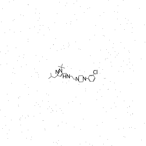 CC(C)Cc1cc(CNCCN2CCN(c3cccc(Cl)c3)CC2)n(C(C)(C)C)n1